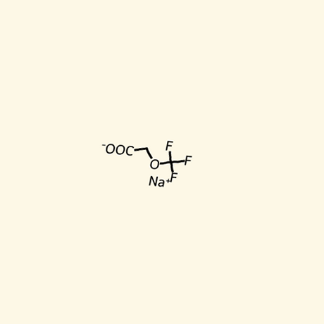 O=C([O-])COC(F)(F)F.[Na+]